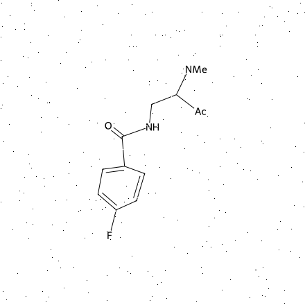 CNC(CNC(=O)c1ccc(F)cc1)C(C)=O